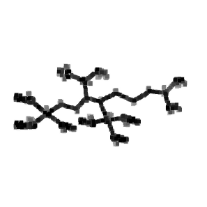 CO[Si](CCC(C(CCCN(C)C)[Si](OC)(OC)OC)N(C)C)(OC)OC